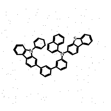 C1=C=Cc2c(c3ccc(-c4cccc(-c5cccc(N(c6ccc7c(c6)sc6ccccc67)c6cccc7ccccc67)c5)c4)cc3n2C2=CCCC=C2)C=1